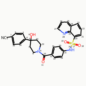 N#Cc1ccc(C2(O)CCN(C(=O)c3ccc(NS(=O)(=O)c4cccc5cccnc45)cc3)CC2)cc1